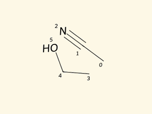 CC#N.CCO